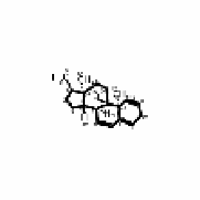 C[C@@H]1CC[C@H]2[C@@H]3C=CC4=CCC=C[C@]4(C)[C@H]3CC[C@]12C